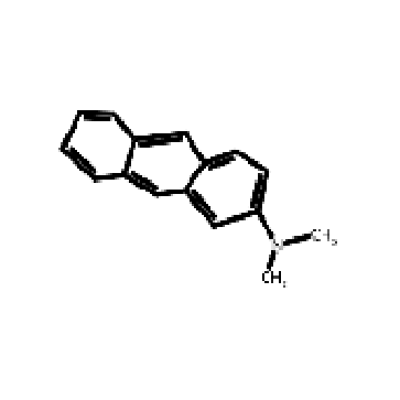 CN(C)c1ccc2[c]c3ccccc3cc2c1